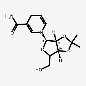 CC1(C)O[C@@H]2[C@H](O1)C(CO)O[C@H]2N1C=CCC(C(N)=O)=C1